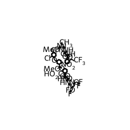 COC(=O)c1cc(Oc2ccc(Cl)cc2Cl)ccc1[N+](=O)[O-].COc1nc(C)nc(NC(=O)NS(=O)(=O)c2ccccc2CCC(F)(F)F)n1.O=C(Nc1nc(OC(F)F)cc(OC(F)F)n1)NS(=O)(=O)c1ccccc1C(=O)O